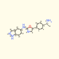 CC(N)c1ccc(-c2cnc(Nc3ccc4[nH]ncc4c3)o2)cc1